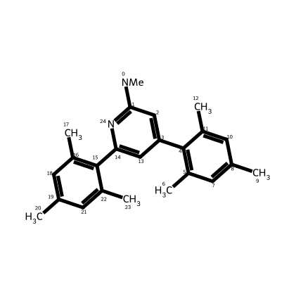 CNc1cc(-c2c(C)cc(C)cc2C)cc(-c2c(C)cc(C)cc2C)n1